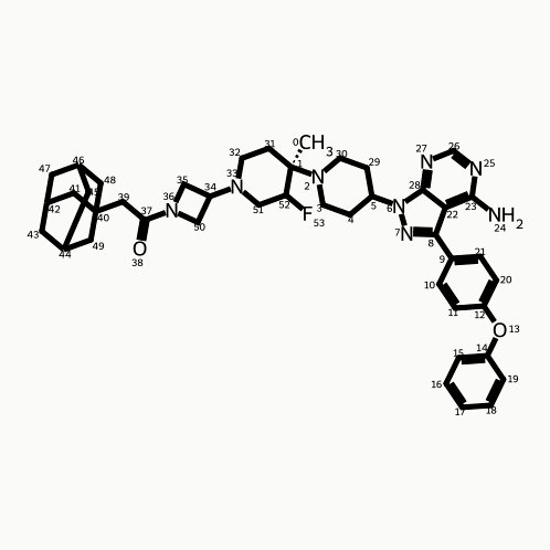 C[C@@]1(N2CCC(n3nc(-c4ccc(Oc5ccccc5)cc4)c4c(N)ncnc43)CC2)CCN(C2CN(C(=O)CC34CC5CC(CC(C5)C3)C4)C2)CC1F